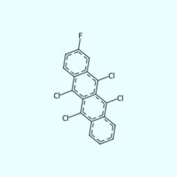 Fc1ccc2c(Cl)c3c(Cl)c4ccccc4c(Cl)c3c(Cl)c2c1